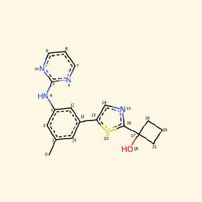 Cc1cc(Nc2ncccn2)cc(-c2cnc(C3(O)CCC3)s2)c1